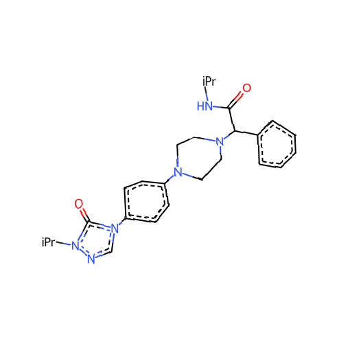 CC(C)NC(=O)C(c1ccccc1)N1CCN(c2ccc(-n3cnn(C(C)C)c3=O)cc2)CC1